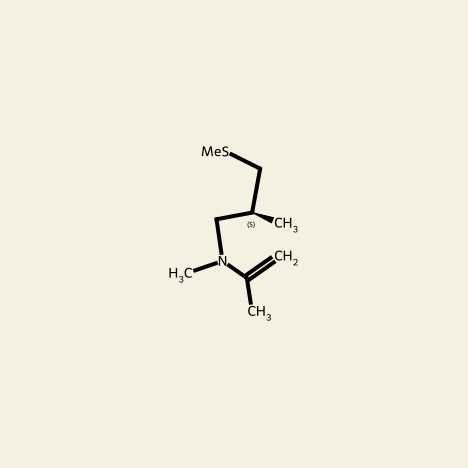 C=C(C)N(C)C[C@H](C)CSC